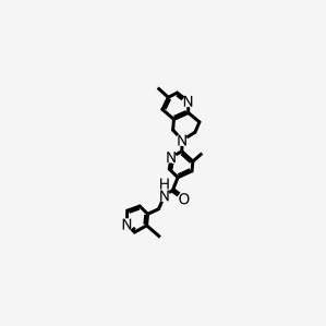 Cc1cnc2c(c1)CN(c1ncc(C(=O)NCc3ccncc3C)cc1C)CC2